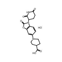 Cl.O=C1CCC(n2c(=O)oc3cc(N4CCC(C(=O)O)CC4)ccc32)C(=O)N1